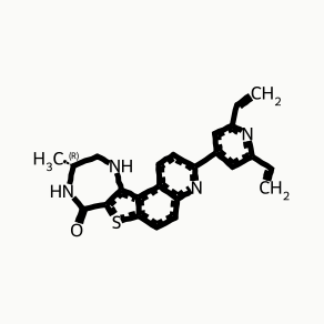 C=Cc1cc(-c2ccc3c(ccc4sc5c(c43)NC[C@@H](C)NC5=O)n2)cc(C=C)n1